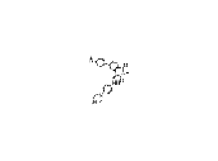 CN1CCN(c2ccc(NC=C3C(=O)NC(=O)c4ccc(-c5ccc(N(C)C)cc5)cc43)cc2)CC1